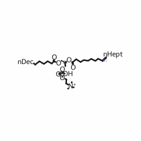 CCCCCCC/C=C\CCCCCCCC(=O)O[C@H](COC(=O)CCCCCCCCCCCCCCC)COP(=O)(O)OCC[N+](C)(C)C